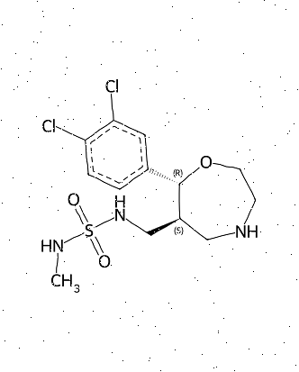 CNS(=O)(=O)NC[C@@H]1CNCCO[C@H]1c1ccc(Cl)c(Cl)c1